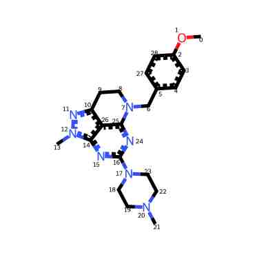 COc1ccc(CN2CCc3nn(C)c4nc(N5CCN(C)CC5)nc2c34)cc1